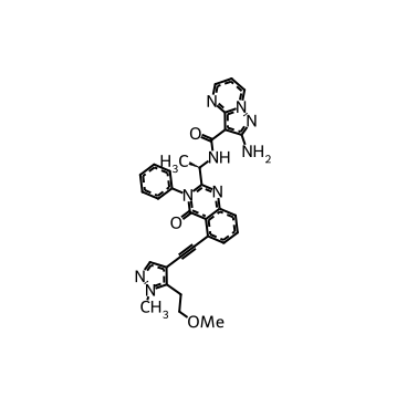 COCCc1c(C#Cc2cccc3nc([C@@H](C)NC(=O)c4c(N)nn5cccnc45)n(-c4ccccc4)c(=O)c23)cnn1C